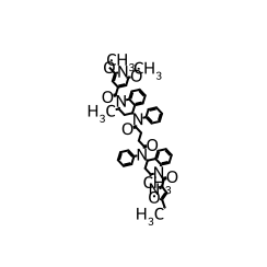 CCc1cc(C(=O)N2c3ccccc3C(N(C(=O)CCC(=O)N(c3ccccc3)C3CC(C)N(C(=O)c4cc(OC)nc(OC)c4)c4ccccc43)c3ccccc3)CC2C)no1